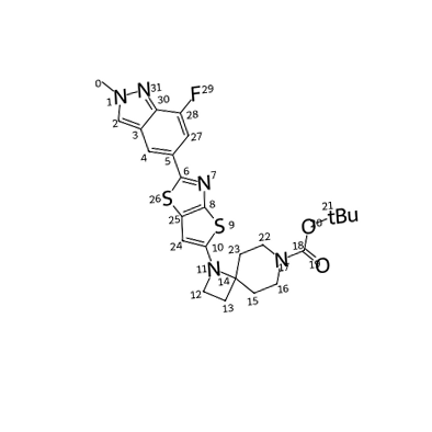 Cn1cc2cc(-c3nc4sc(N5CCC56CCN(C(=O)OC(C)(C)C)CC6)cc4s3)cc(F)c2n1